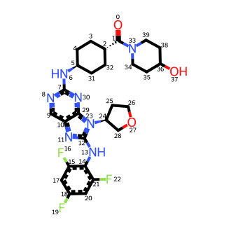 O=C([C@H]1CC[C@H](Nc2ncc3nc(Nc4c(F)cc(F)cc4F)n([C@H]4CCOC4)c3n2)CC1)N1CCC(O)CC1